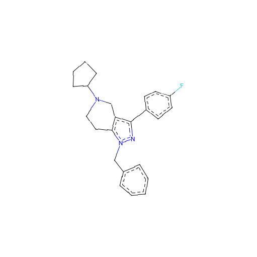 Fc1ccc(-c2nn(Cc3ccccc3)c3c2CN(C2CCCC2)CC3)cc1